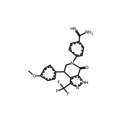 COc1ccc(C2CN(c3ccc(C(=N)N)cc3)C(=O)c3[nH]nc(C(F)(F)F)c32)cc1